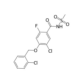 CS(=O)(=O)NC(=O)c1cc(Cl)c(OCc2ccccc2Cl)cc1F